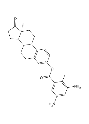 Cc1c(N)cc(N)cc1C(=O)Oc1ccc2c(c1)CCC1C2CC[C@]2(C)C(=O)CCC12